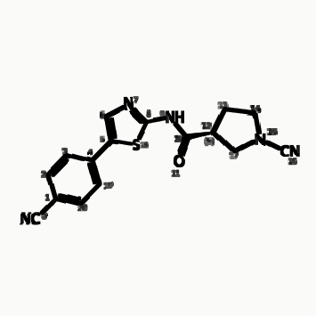 N#Cc1ccc(-c2cnc(NC(=O)[C@H]3CCN(C#N)C3)s2)cc1